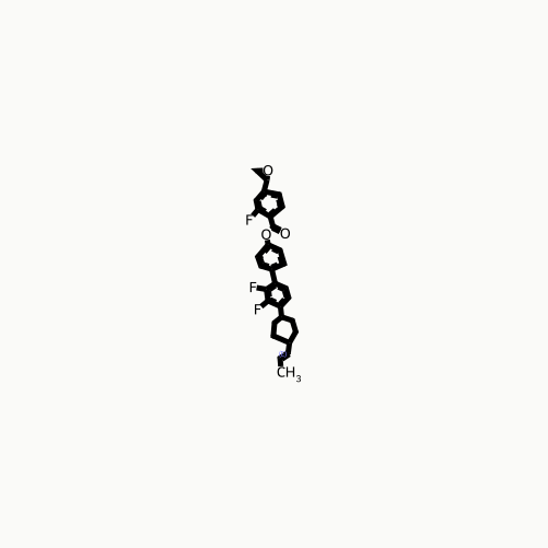 C/C=C/C1CCC(c2ccc(-c3ccc(OC(=O)c4ccc(C5CO5)cc4F)cc3)c(F)c2F)CC1